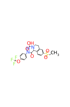 CCS(=O)(=O)c1ccc2c(c1)CCN(C(=O)O)C2C(=O)Nc1ccc(OC(F)(F)F)cc1